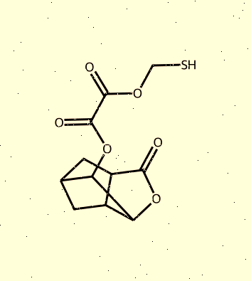 O=C(OCS)C(=O)OC1C2CC3C(=O)OC1C3C2